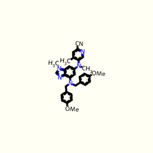 COc1ccc(CN(Cc2ccc(OC)cc2)c2cc(N(C)c3cnc(C#N)cc3C)cc3c2ncn3C)cc1